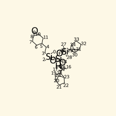 C[Si](C)(CCC1CCC2OC2C1)O[SiH](O[Si](C)(C)C1CC2CCC1C2)O[Si](C)(C)C1CC2CCC1C2